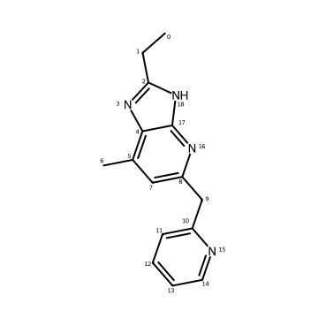 CCc1nc2c(C)cc(Cc3ccccn3)nc2[nH]1